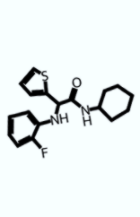 O=C(NC1CCCCC1)C(Nc1ccccc1F)c1cccs1